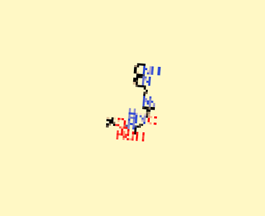 CC(C)(C)COC(=O)NC(CNC(=O)c1cnn(CCc2ccc3c(n2)NCCC3)c1)C(=O)O